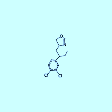 CCC(CC1CO[C]=N1)c1ccc(Cl)c(Cl)c1